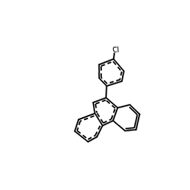 Clc1ccc(-c2cc3ccccc3c3c2C=C=C=C3)cc1